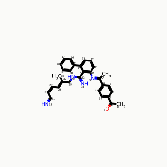 CC(=O)c1ccc(/C(C)=N/c2cccc(-c3ccccc3)c2C(=N)NC/C(C)=C/C=C\C=N)cc1